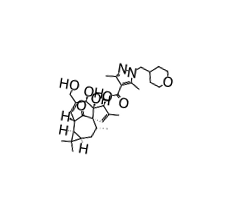 CC1=C[C@]23C(=O)[C@@H](C=C(CO)[C@@H](O)[C@]2(O)[C@H]1OC(=O)c1c(C)nn(CC2CCOCC2)c1C)[C@H]1[C@@H](C[C@H]3C)C1(C)C